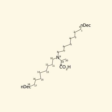 CCCCCCCCCCCCCCCCCCN(CCCCCCCCCCCCCCCCCC)C(C)C(=O)O